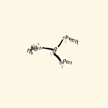 CCCCCB(CCCCC)CCCCC.[KH]